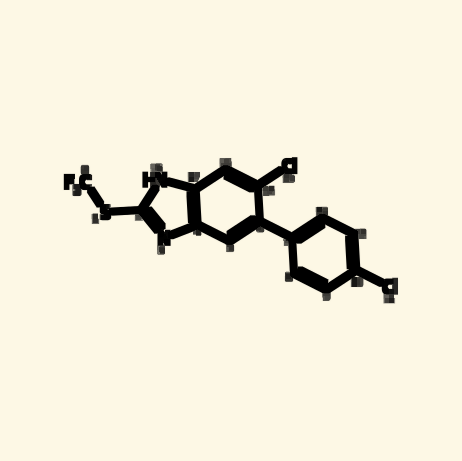 FC(F)(F)Sc1nc2cc(-c3ccc(Cl)cc3)c(Cl)cc2[nH]1